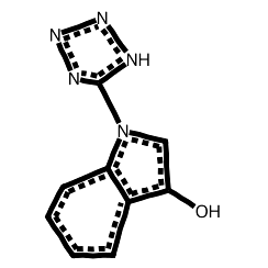 Oc1cn(-c2nnn[nH]2)c2ccccc12